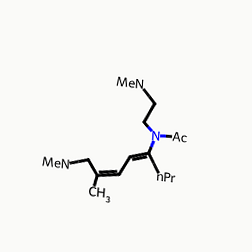 CCC/C(=C\C=C(\C)CNC)N(CCNC)C(C)=O